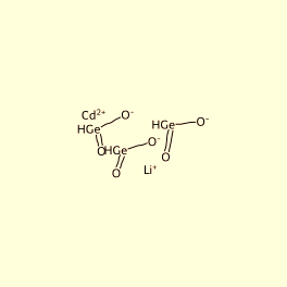 [Cd+2].[Li+].[O]=[GeH][O-].[O]=[GeH][O-].[O]=[GeH][O-]